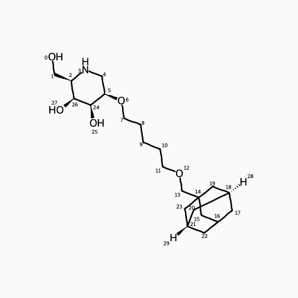 OC[C@H]1NC[C@@H](OCCCCCOCC23CC4C[C@H](C2)C[C@H](C4)C3)[C@@H](O)[C@H]1O